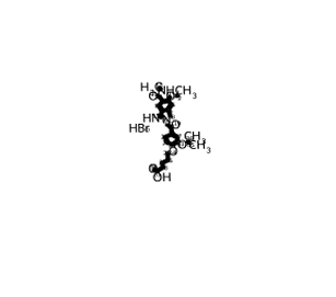 Br.CCOc1cc2c(cc1C(=O)NC)C(=N)N(CC(=O)c1ccc(OCCCCC(=O)O)c(OC(C)C)c1)C2